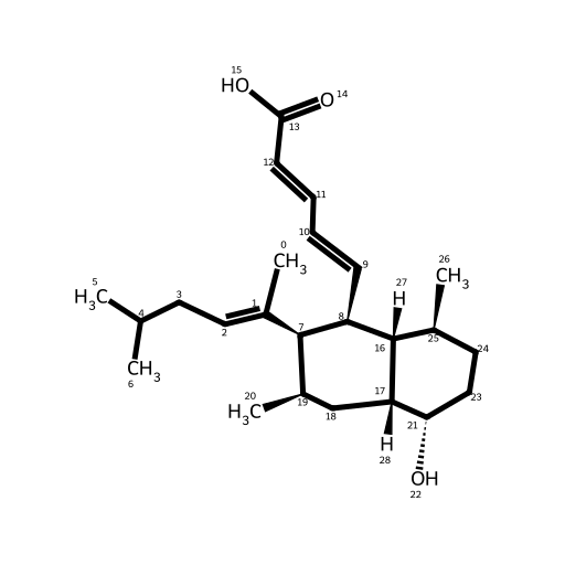 C/C(=C\CC(C)C)[C@H]1[C@@H](/C=C/C=C/C(=O)O)[C@H]2[C@@H](C[C@H]1C)[C@@H](O)CC[C@@H]2C